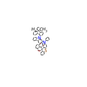 CC1(C)c2ccccc2-c2c(-n3c4ccccc4c4ccc(N(c5ccccc5)c5ccc6c(c5)C5(c7ccccc7S6)c6ccccc6-c6cccc7cccc5c67)cc43)cccc21